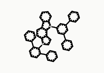 c1ccc(-c2cc(-c3ccccc3)cc(-n3c4ccccc4c4ccc5c(ccn5-c5c(-c6ccccc6)cccc5-c5ccccc5)c43)c2)cc1